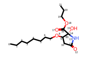 CCCCCCCCOC1CC(=O)N[C@]1(O)C(=O)OCCC